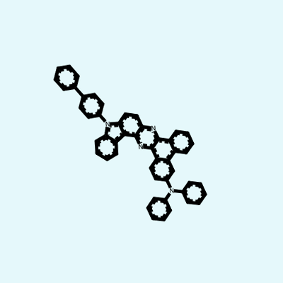 c1ccc(-c2ccc(-n3c4ccccc4c4c5nc6c7ccc(N(c8ccccc8)c8ccccc8)cc7c7ccccc7c6nc5ccc43)cc2)cc1